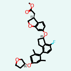 COC(=O)C[C@@H]1COc2cc(O[C@@H]3CCc4c(-c5c(C)cc(O[C@@H]6CCOC6)cc5C)ccc(F)c43)ccc21